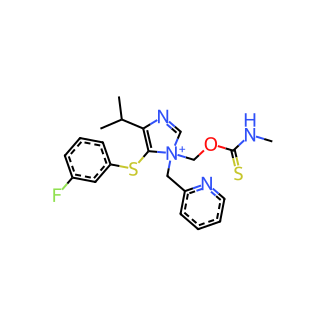 CNC(=S)OC[N+]1(Cc2ccccn2)C=NC(C(C)C)=C1Sc1cccc(F)c1